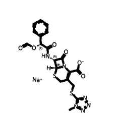 Cn1nnnc1SCC1=C(C(=O)[O-])N2C(=O)[C@@H](NC(=O)[C@H](OC=O)c3ccccc3)[C@H]2SC1.[Na+]